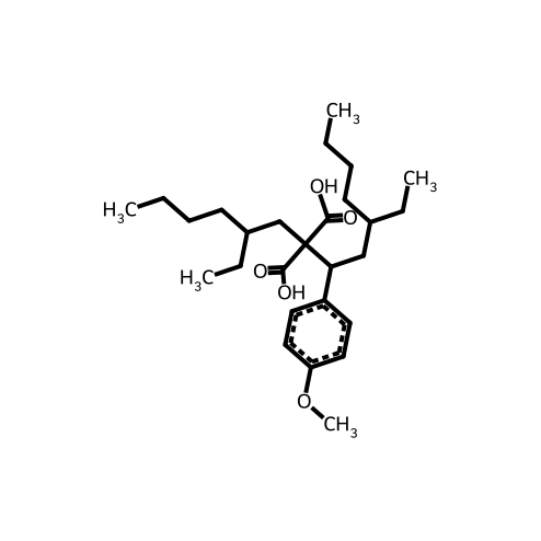 CCCCC(CC)CC(c1ccc(OC)cc1)C(CC(CC)CCCC)(C(=O)O)C(=O)O